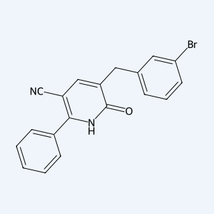 N#Cc1cc(Cc2cccc(Br)c2)c(=O)[nH]c1-c1ccccc1